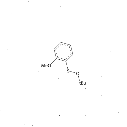 COc1ccccc1SOC(C)(C)C